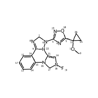 COC1(c2nc(N3CN=C4c5ccccc5N5CN(F)C=C5N43)no2)CC1